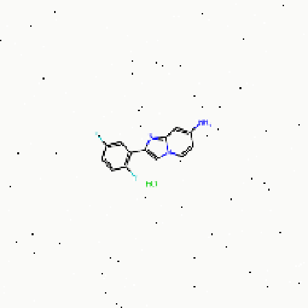 Cl.Nc1ccn2cc(-c3cc(F)ccc3F)nc2c1